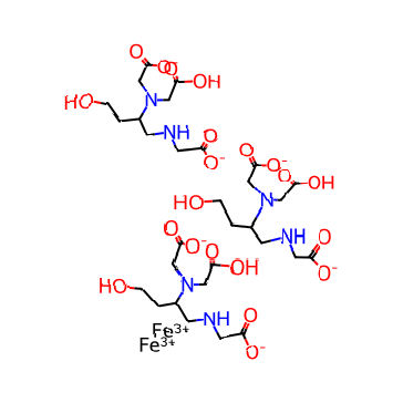 O=C([O-])CNCC(CCO)N(CC(=O)[O-])CC(=O)O.O=C([O-])CNCC(CCO)N(CC(=O)[O-])CC(=O)O.O=C([O-])CNCC(CCO)N(CC(=O)[O-])CC(=O)O.[Fe+3].[Fe+3]